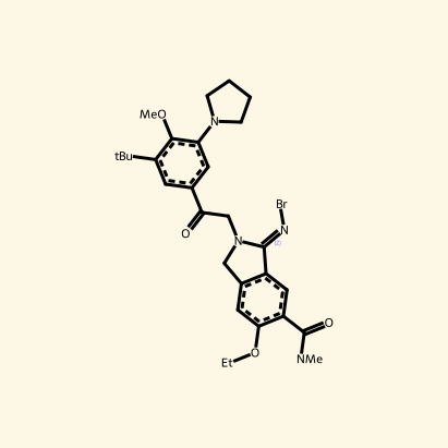 CCOc1cc2c(cc1C(=O)NC)/C(=N/Br)N(CC(=O)c1cc(N3CCCC3)c(OC)c(C(C)(C)C)c1)C2